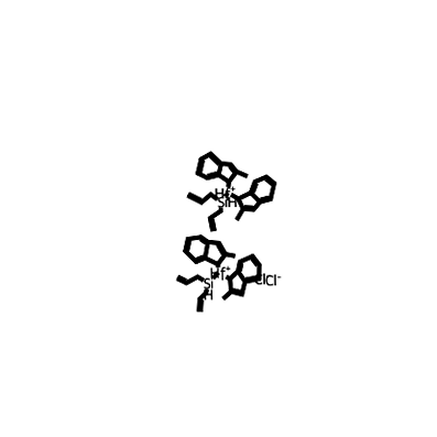 C=CC[SiH](CC=C)[Hf+]([CH]1C(C)=Cc2ccccc21)[CH]1C(C)=Cc2ccccc21.C=CC[SiH](CC=C)[Hf+]([CH]1C(C)=Cc2ccccc21)[CH]1C(C)=Cc2ccccc21.[Cl-].[Cl-]